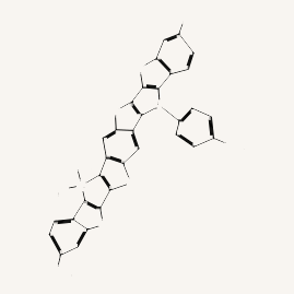 Cc1ccc(-n2c3c4ccc(C)cc4oc3c3oc4cc5c6c(sc5cc4c32)-c2sc3cc(C)ccc3c2[Si]6(C)C)cc1